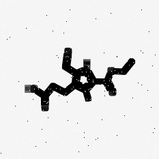 CCOC(=O)c1[nH]c(C=O)c(CCC(=O)O)c1C